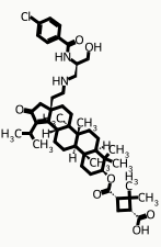 CC(C)C1=C2[C@H]3CC[C@@H]4[C@@]5(C)CC[C@H](OC(=O)[C@H]6C[C@@H](C(=O)O)C6(C)C)C(C)(C)[C@@H]5CC[C@@]4(C)[C@]3(C)CC[C@@]2(CCNC[C@H](CO)NC(=O)c2ccc(Cl)cc2)CC1=O